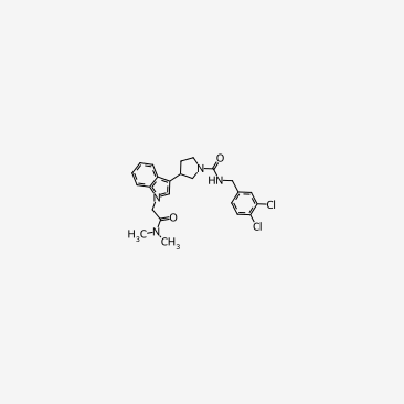 CN(C)C(=O)Cn1cc(C2CCN(C(=O)NCc3ccc(Cl)c(Cl)c3)C2)c2ccccc21